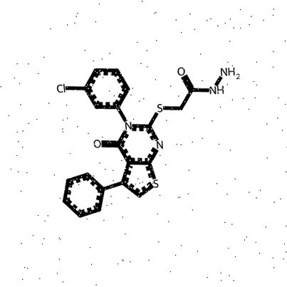 NNC(=O)CSc1nc2scc(-c3ccccc3)c2c(=O)n1-c1cccc(Cl)c1